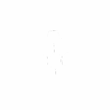 Fc1c(F)c(F)c(C2OCCO2)c(F)c1F